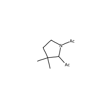 CC(=O)C1N(C(C)=O)CCC1(C)C